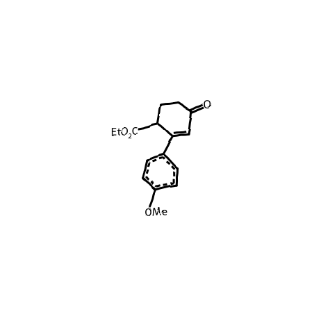 CCOC(=O)C1CCC(=O)C=C1c1ccc(OC)cc1